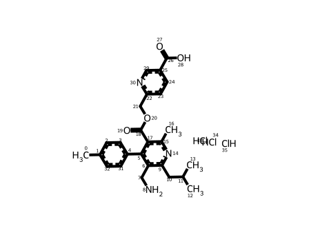 Cc1ccc(-c2c(CN)c(CC(C)C)nc(C)c2C(=O)OCc2ccc(C(=O)O)cn2)cc1.Cl.Cl.Cl